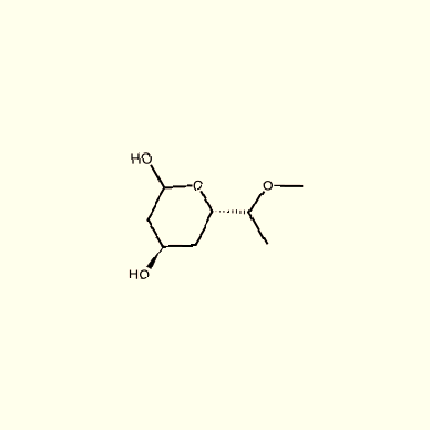 COC(C)[C@@H]1C[C@@H](O)CC(O)O1